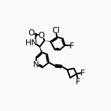 O=C1N[C@H](c2cncc(C#CC3CC(F)(F)C3)c2)[C@@H](c2ccc(F)cc2Cl)O1